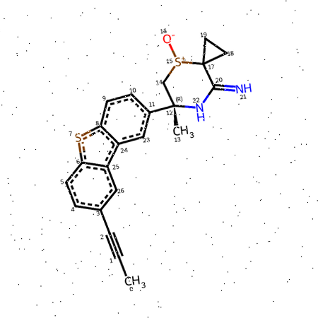 CC#Cc1ccc2sc3ccc([C@]4(C)C[S+]([O-])C5(CC5)C(=N)N4)cc3c2c1